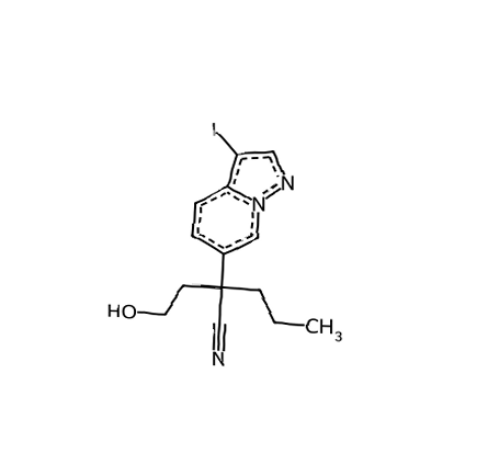 CCCC(C#N)(CCO)c1ccc2c(I)cnn2c1